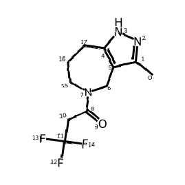 Cc1n[nH]c2c1CN(C(=O)CC(F)(F)F)CCC2